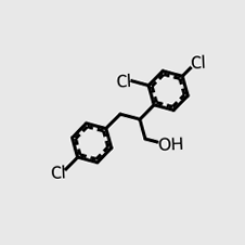 OCC(Cc1ccc(Cl)cc1)c1ccc(Cl)cc1Cl